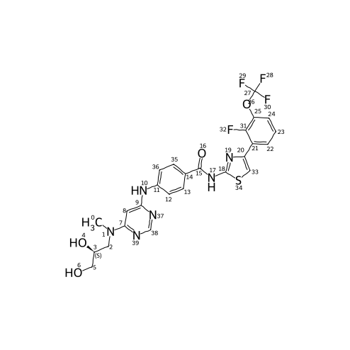 CN(C[C@H](O)CO)c1cc(Nc2ccc(C(=O)Nc3nc(-c4cccc(OC(F)(F)F)c4F)cs3)cc2)ncn1